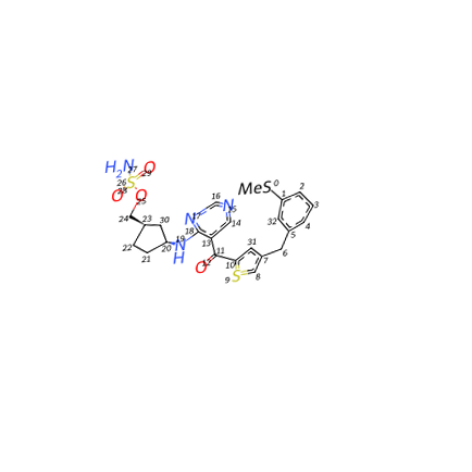 CSc1cccc(Cc2csc(C(=O)c3cncnc3N[C@H]3CC[C@@H](COS(N)(=O)=O)C3)c2)c1